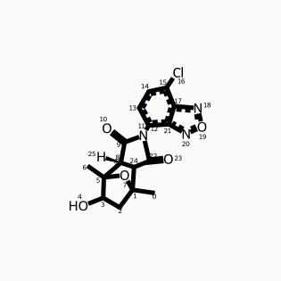 CC12CC(O)C(C)(O1)[C@@H]1C(=O)N(c3ccc(Cl)c4nonc34)C(=O)C12